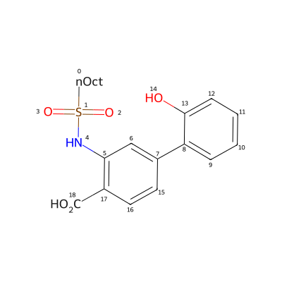 CCCCCCCCS(=O)(=O)Nc1cc(-c2ccccc2O)ccc1C(=O)O